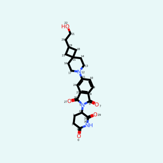 O=C1CCC(N2C(=O)c3ccc(N4CCC5(CC4)CC(CCO)C5)cc3C2=O)C(=O)N1